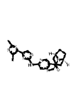 Cc1nc(C)c(-c2csc(Nc3ccc(C(=O)N4[C@@H]5CC[C@H]4C[C@@H](CF)C5)cn3)n2)s1